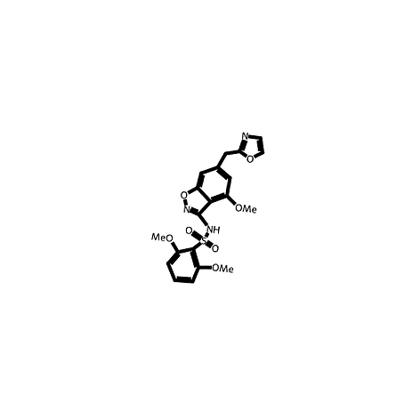 COc1cccc(OC)c1S(=O)(=O)Nc1noc2cc(Cc3ncco3)cc(OC)c12